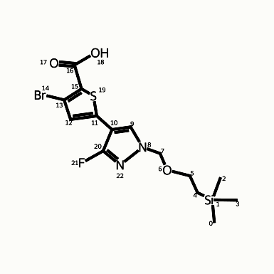 C[Si](C)(C)CCOCn1cc(-c2cc(Br)c(C(=O)O)s2)c(F)n1